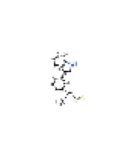 CC(CCS)c1cccc(-c2c[nH]c3ccccc23)c1